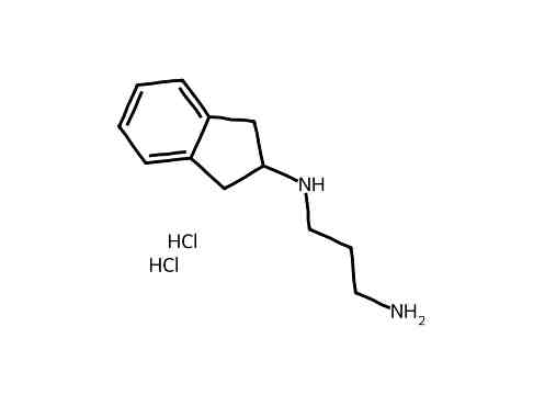 Cl.Cl.NCCCNC1Cc2ccccc2C1